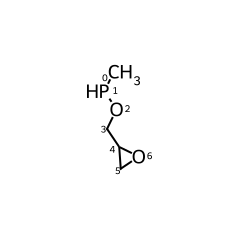 CPOCC1CO1